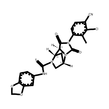 Cc1c(N2C(=O)[C@@H]3[C@@H]4C[C@@H](CN4C(=S)Nc4ccc5c(c4)OCO5)N3C2=O)ccc(C#N)c1Cl